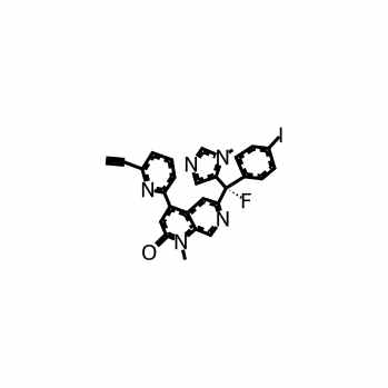 C#Cc1cccc(-c2cc(=O)n(C)c3cnc([C@](F)(c4ccc(I)cc4)c4cncn4C)cc23)n1